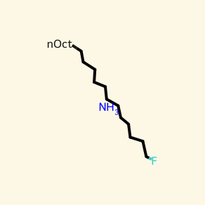 CCCCCCCCCCCCCCCCCCCCF.N